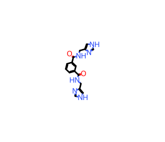 O=C(NCc1c[nH]cn1)c1cccc(C(=O)NCc2c[nH]cn2)c1